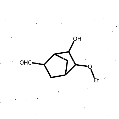 CCOC1C2CC(C=O)C(C2)C1O